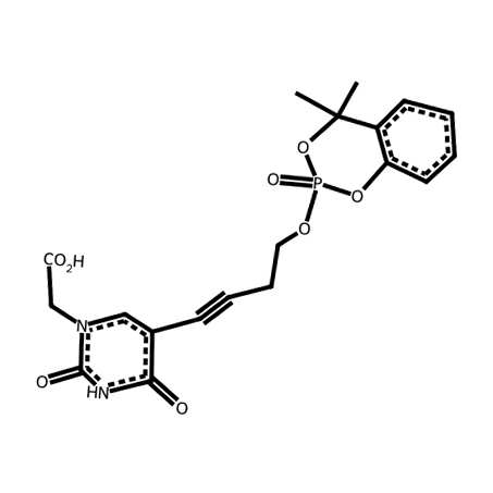 CC1(C)OP(=O)(OCCC#Cc2cn(CC(=O)O)c(=O)[nH]c2=O)Oc2ccccc21